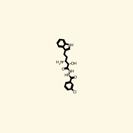 N[C@H](CCc1c[nH]c2ccccc12)[C@H](O)C(=O)NNC(=O)c1cccc(Cl)c1